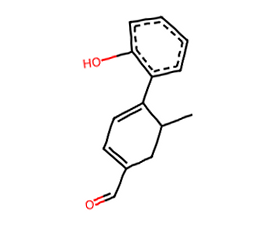 CC1CC(C=O)=CC=C1c1ccccc1O